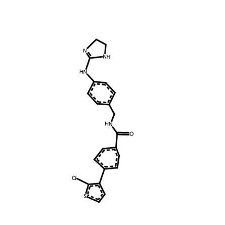 O=C(NCc1ccc(NC2=NCCN2)cc1)c1ccc(-c2ccsc2Cl)cc1